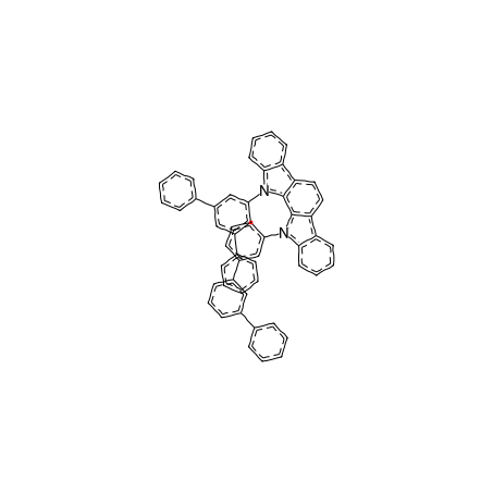 c1ccc(-c2cccc(-c3cccc(-n4c5ccccc5c5ccc6c7ccccc7n(-c7cc(-c8ccccc8)cc(-c8ccccc8)c7)c6c54)c3)c2)cc1